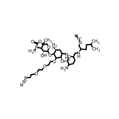 CC(C)CCC(CN=[N+]=[N-])NCC1CCC(N)[C@@H](O[C@@H]2C(N)C[C@@H](N)C(OC3OCC4(C)OC(=O)N(C)C4[C@H]3O)C2OCCOCCOCCN=[N+]=[N-])O1